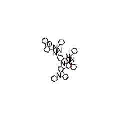 c1ccc(-c2nc(-c3ccccc3)nc(-c3cc(-c4nc(-c5ccccc5)nc(-c5cccc6c5oc5ccccc56)n4)ccc3-n3c4ccccc4c4c5c6ccccc6n(-c6ccccc6)c5ccc43)n2)cc1